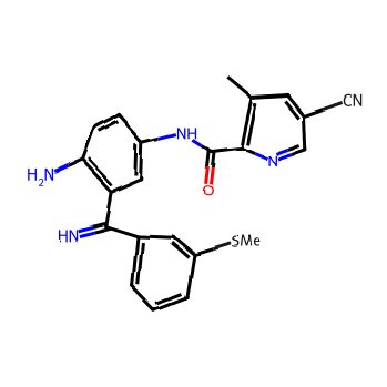 CSc1cccc(C(=N)c2cc(NC(=O)c3ncc(C#N)cc3C)ccc2N)c1